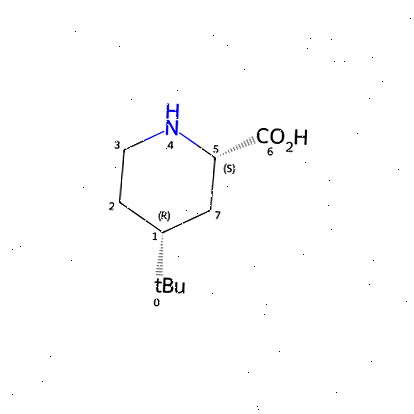 CC(C)(C)[C@@H]1CCN[C@H](C(=O)O)C1